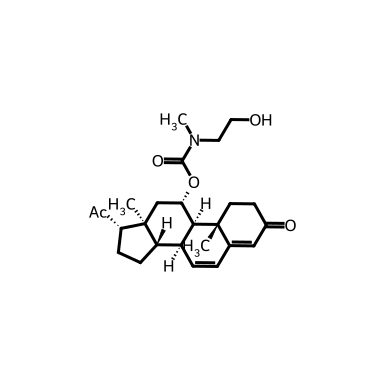 CC(=O)[C@H]1CC[C@H]2[C@@H]3C=CC4=CC(=O)CC[C@@]4(C)[C@@H]3[C@@H](OC(=O)N(C)CCO)C[C@]12C